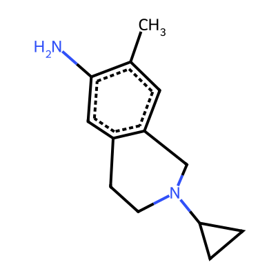 Cc1cc2c(cc1N)CCN(C1CC1)C2